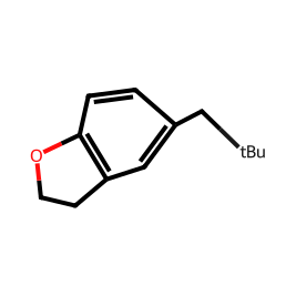 CC(C)(C)Cc1ccc2c(c1)CCO2